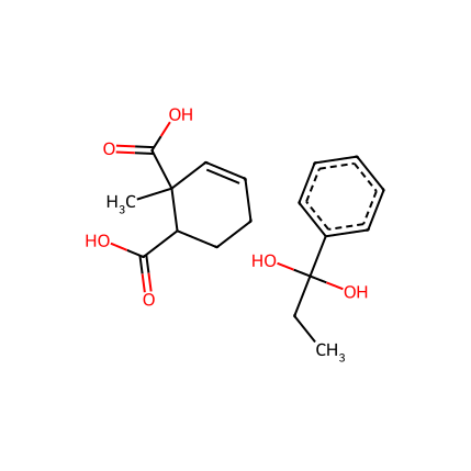 CC1(C(=O)O)C=CCCC1C(=O)O.CCC(O)(O)c1ccccc1